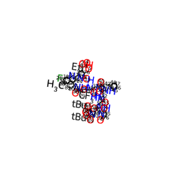 CC[C@@]1(O)C(=O)OCc2c1cc1n(c2=O)Cc2c-1nc1cc(F)c(C)c3c1c2[C@@H](NC(=O)[C@H](OCNC(=O)CNC(=O)[C@H](Cc1ccccc1)NC(=O)CNC(=O)CNC(=O)[C@@H](CN(CC(=O)OC(C)(C)C)C(=O)OC(C)(C)C)N1C(=O)C=CC1=O)C(F)(F)F)CC3